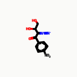 [N-]=[N+]=C(C(=O)c1ccc([N+](=O)[O-])cc1)C(O)CO